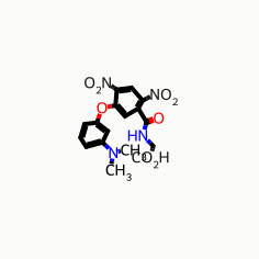 CN(C)c1cccc(Oc2cc(C(=O)NCC(=O)O)c([N+](=O)[O-])cc2[N+](=O)[O-])c1